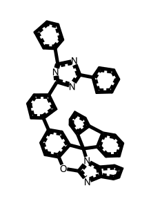 c1ccc(-c2nc(-c3ccccc3)nc(-c3cccc(-c4ccc5c(c4)C4(c6ccccc6-c6ccccc64)n4c(nc6ccccc64)O5)c3)n2)cc1